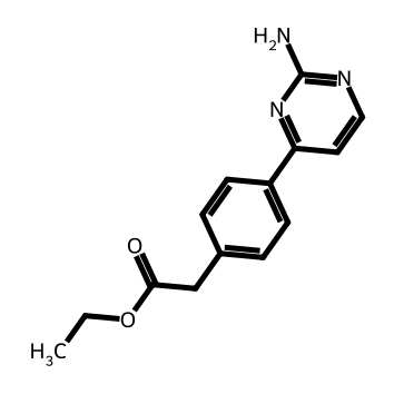 CCOC(=O)Cc1ccc(-c2ccnc(N)n2)cc1